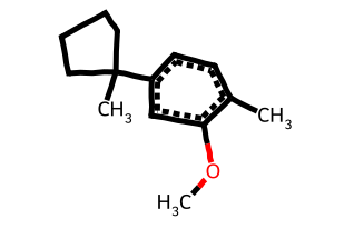 COc1cc(C2(C)CCCC2)ccc1C